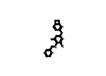 Cc1cc(Cc2ccc3c(c2)CC3)cc(Br)c1OCc1ccccc1